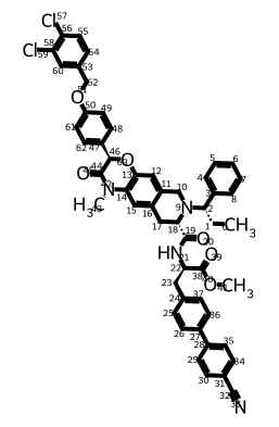 CC[C@@H](c1ccccc1)N1Cc2cc3c(cc2C[C@H]1C(=O)N[C@H](Cc1ccc(-c2ccc(C#N)cc2)cc1)C(=O)OC)N(C)C(=O)[C@@H](c1ccc(OCc2ccc(Cl)c(Cl)c2)cc1)O3